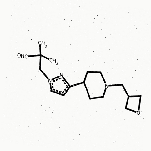 CC(C)(C=O)Cn1ccc(C2CCN(CC3COC3)CC2)n1